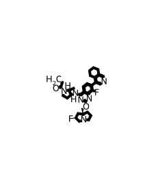 C=CC(=O)N1CC[C@@H]2[C@H]1CN2c1nc(OC[C@@]23CCCN2C[C@H](F)C3)nc2c(F)c(-c3cncc4c3CCCC4)ccc12